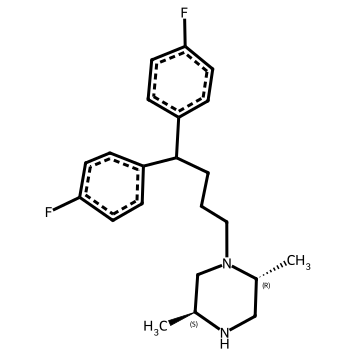 C[C@@H]1CN[C@@H](C)CN1CCCC(c1ccc(F)cc1)c1ccc(F)cc1